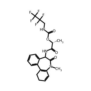 C[C@@H](OC(=O)NCC(F)(F)C(F)(F)F)C(=O)NC1C(=O)N(C)C2=C(CCC=C2)c2ccccc21